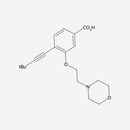 CC(C)(C)C#Cc1ccc(C(=O)O)cc1OCCN1CCOCC1